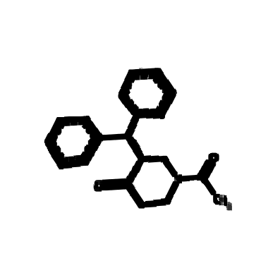 CC(=O)N1CCC(=O)C(C(c2ccccc2)c2ccccc2)C1